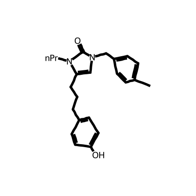 CCCn1c(CCCc2ccc(O)cc2)cn(Cc2ccc(C)cc2)c1=O